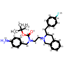 CC(C)(C)OC(=O)N(CCN1Cc2ccccc2CC1Cc1ccc(F)cc1)Cc1ccc(N)cc1